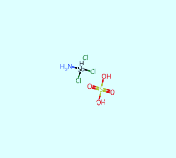 O=S(=O)(O)O.[NH2][SbH]([Cl])([Cl])[Cl]